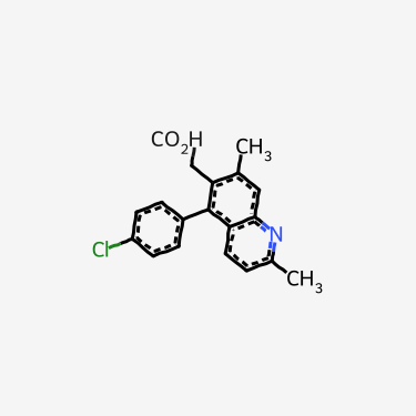 Cc1ccc2c(-c3ccc(Cl)cc3)c(CC(=O)O)c(C)cc2n1